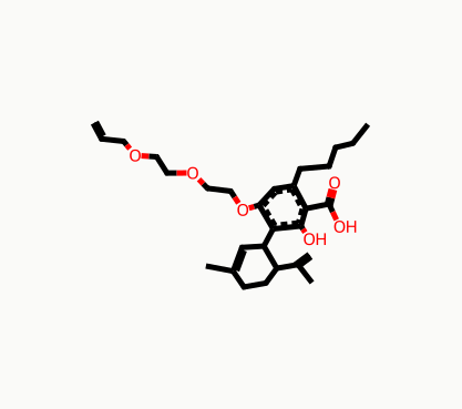 C=CCOCCOCCOc1cc(CCCCC)c(C(=O)O)c(O)c1C1C=C(C)CCC1C(=C)C